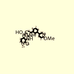 COc1ccc(-c2cccc([C@H](CC(=O)O)NC(=O)NC3C(=O)C=CN(C)C3=O)c2)cn1